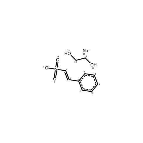 O=S(=O)([O-])C=Cc1ccccc1.OCCO.[Na+]